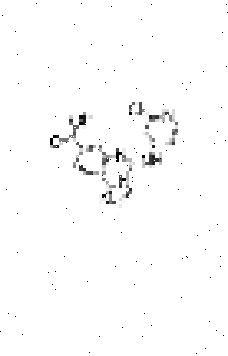 Cc1cn2c(Nc3ccnc(Cl)c3)nc3cc(C(=O)O)ccc3c2n1